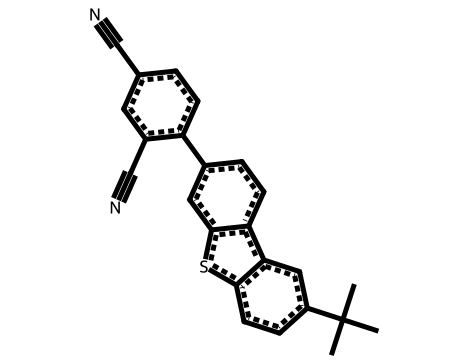 CC(C)(C)c1ccc2sc3cc(-c4ccc(C#N)cc4C#N)ccc3c2c1